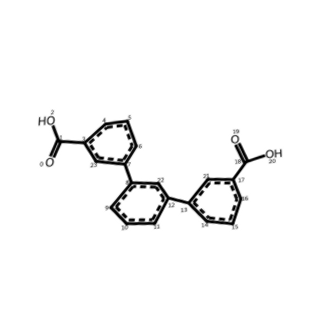 O=C(O)c1cccc(-c2cccc(-c3cccc(C(=O)O)c3)c2)c1